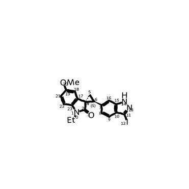 CCN1C(=O)[C@@]2(C[C@H]2c2ccc3c(I)n[nH]c3c2)c2cc(OC)ccc21